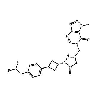 C=C1CC(Cn2cnc3ncn(C)c3c2=O)=NN1[C@H]1C[C@H](c2ccc(OC(F)F)cc2)C1